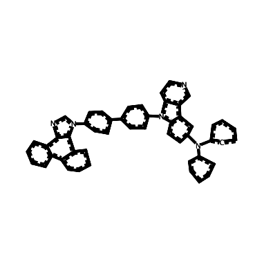 c1ccc(N(c2ccccc2)c2ccc3c(c2)c2cnccc2n3-c2ccc(-c3ccc(-n4cnc5c6ccccc6c6ccccc6c54)cc3)cc2)cc1